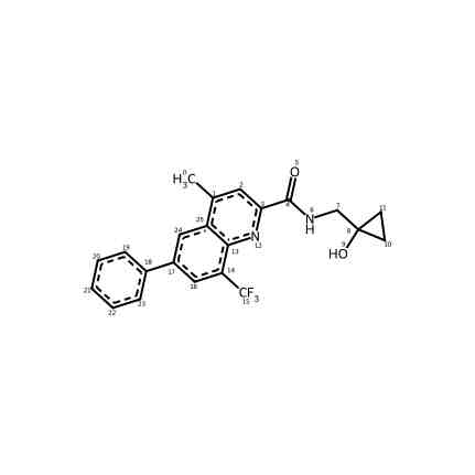 Cc1cc(C(=O)NCC2(O)CC2)nc2c(C(F)(F)F)cc(-c3ccccc3)cc12